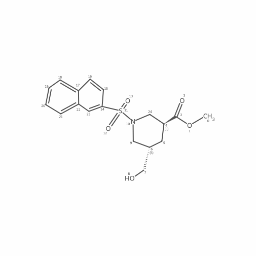 COC(=O)[C@H]1C[C@H](CO)CN(S(=O)(=O)c2ccc3ccccc3c2)C1